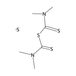 CN(C)C(=S)SC(=S)N(C)C.[S]